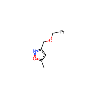 Cc1cc(COCC(C)C)no1